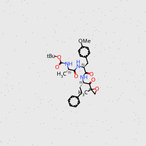 COc1ccc(C[C@H](NC(=O)[C@H](C)NC(=O)OC(C)(C)C)C(=O)N[C@@H](CCc2ccccc2)C(=O)[C@@]2(C)CO2)cc1